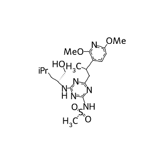 COc1ccc(C(C)Cc2nc(N[C@@H](CO)CC(C)C)nc(NS(C)(=O)=O)n2)c(OC)n1